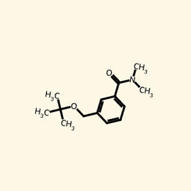 CN(C)C(=O)c1cccc(COC(C)(C)C)c1